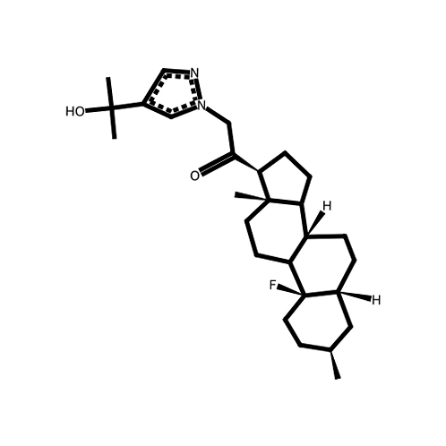 C[C@H]1CC[C@]2(F)C3CC[C@@]4(C)C(CC[C@@H]4C(=O)Cn4cc(C(C)(C)O)cn4)[C@@H]3CC[C@@H]2C1